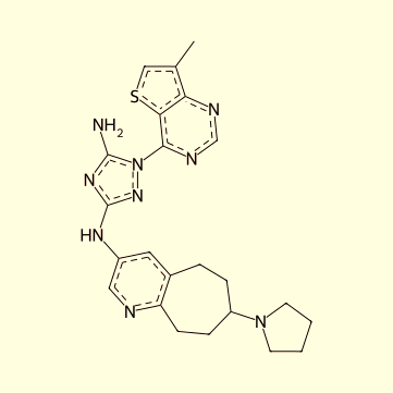 Cc1csc2c(-n3nc(Nc4cnc5c(c4)CCC(N4CCCC4)CC5)nc3N)ncnc12